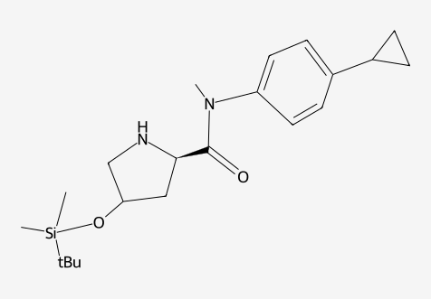 CN(C(=O)[C@H]1CC(O[Si](C)(C)C(C)(C)C)CN1)c1ccc(C2CC2)cc1